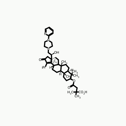 CC(C)C1=C2[C@H]3CC[C@@H]4[C@@]5(C)CCC(OC(=O)CC(C)(C)C(=O)O)C(C)(C)[C@@H]5CC[C@@]4(C)[C@]3(C)CC[C@@]2([C@H](O)CN2CCN(c3ccccn3)CC2)CC1=O